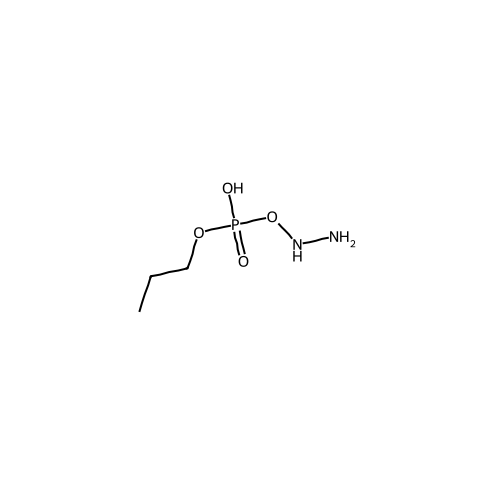 CCCOP(=O)(O)ONN